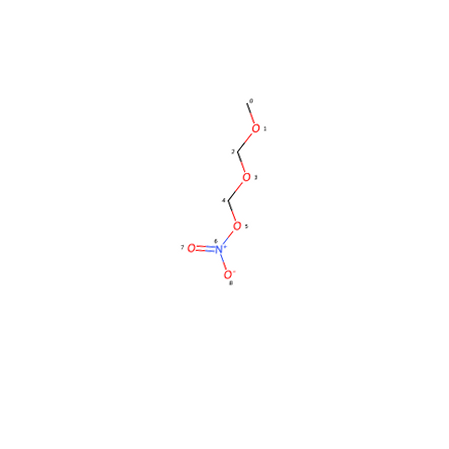 COCOCO[N+](=O)[O-]